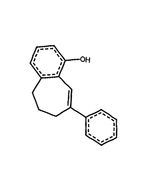 Oc1cccc2c1C=C(c1ccccc1)CCC2